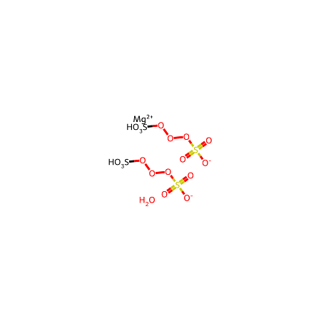 O.O=S(=O)([O-])OOOS(=O)(=O)O.O=S(=O)([O-])OOOS(=O)(=O)O.[Mg+2]